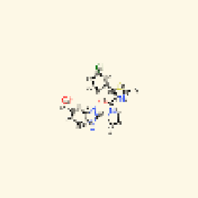 Cc1nc(C(=O)N2CC[C@H](C)[C@H]2c2nc3cc(CO)ccc3[nH]2)c(-c2cccc(Cl)c2)s1